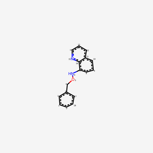 c1ccc(CONc2cccc3cccnc23)cc1